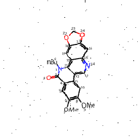 CCCCn1c(=O)c2cc(OC)c(OC)cc2c2cnc3cc4c(cc3c21)OCO4